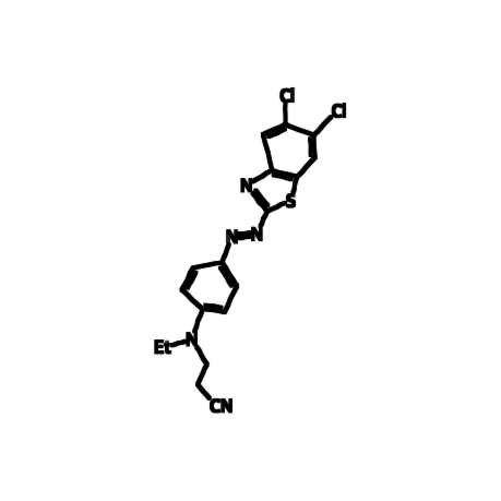 CCN(CCC#N)c1ccc(N=Nc2nc3cc(Cl)c(Cl)cc3s2)cc1